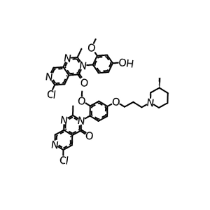 COc1cc(O)ccc1-n1c(C)nc2cnc(Cl)cc2c1=O.COc1cc(OCCCN2CCC[C@H](C)C2)ccc1-n1c(C)nc2cnc(Cl)cc2c1=O